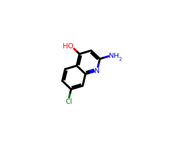 Nc1cc(O)c2ccc(Cl)cc2n1